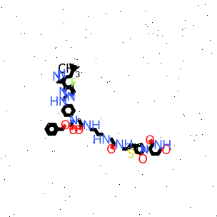 Cn1ncc(-c2nc(NC3CCC(N(CC(=O)NCCCCNCC(=O)NCc4cc5c(s4)C(=O)N(C4CCC(=O)NC4=O)C5)C(=O)OCc4ccccc4)CC3)ncc2F)c1CC1CC1